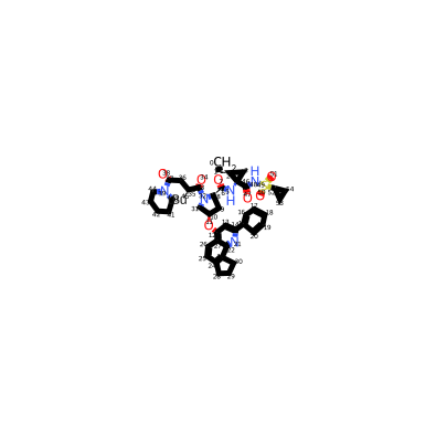 C=C[C@@H]1C[C@]1(NC(=O)[C@@H]1C[C@@H](Oc2cc(-c3ccccc3)nc3c4c(ccc23)CCC4)CN1C(=O)[C@@H](CC(=O)N1CCCCC1)C(C)(C)C)C(=O)NS(=O)(=O)C1CC1